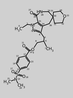 CCn1nc(CC(C)COC(=O)c2ccc(S(=O)(=O)N(C)C)cc2)c2c1C(=O)NCC1(CCOCC1)C2